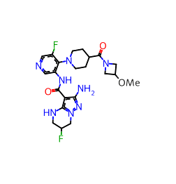 COC1CN(C(=O)C2CCN(c3c(F)cncc3NC(=O)c3c(N)nn4c3NCC(F)C4)CC2)C1